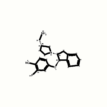 N#Cc1ccc(O[C@@H]2c3ccccc3C[C@H]2N2CC[C@H](CN)C2)cc1F